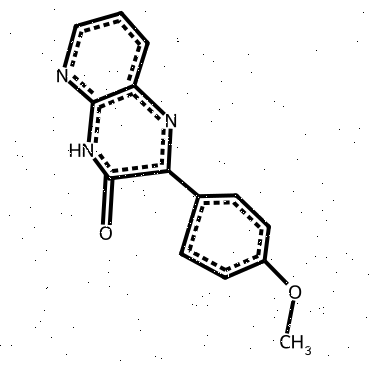 COc1ccc(-c2nc3cccnc3[nH]c2=O)cc1